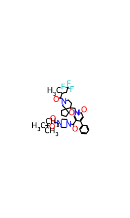 CC(CC(F)(F)F)C(=O)N1CCC(O)(Cn2cc(C(=O)N3CCN(C(=O)OC(C)(C)C)CC3)c(-c3ccccc3)cc2=O)C2(CCCC2)C1